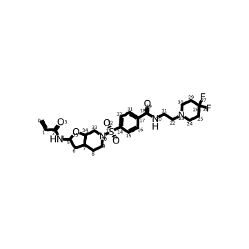 C=CC(=O)NC1CC2CCN(S(=O)(=O)c3ccc(C(=O)NCCN4CCC(F)(F)CC4)cc3)CC2O1